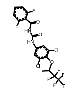 CC(Oc1c(Cl)cc(NC(=O)NC(=O)c2c(F)cccc2F)cc1Cl)C(F)(F)C(F)(F)F